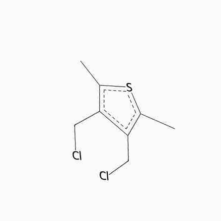 Cc1sc(C)c(CCl)c1CCl